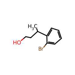 CC(CCO)c1ccccc1Br